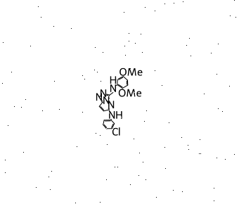 COc1ccc(OC)c(NCc2nnc3ccc(Nc4cccc(Cl)c4)nn23)c1